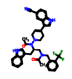 CC(=O)N(Cc1ccccc1C(F)(F)F)C[C@@H](Cc1c[nH]c2ccccc12)N(C(C)=O)N1CC=C(c2c[nH]c3ccc(C#N)cc23)CC1